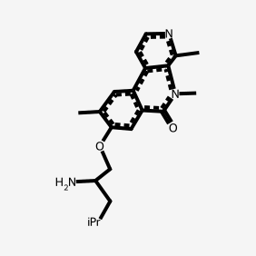 Cc1cc2c(cc1OCC(N)CC(C)C)c(=O)n(C)c1c(C)nccc21